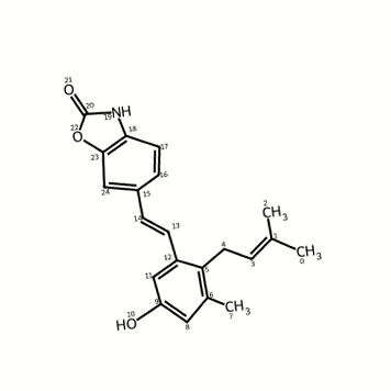 CC(C)=CCc1c(C)cc(O)cc1/C=C/c1ccc2[nH]c(=O)oc2c1